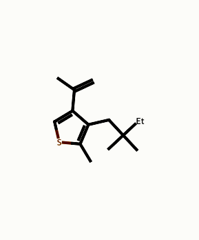 C=C(C)c1csc(C)c1CC(C)(C)CC